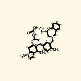 CC[C@@H]1CN(Cc2cc([C@@H](CC(=O)O)c3ccc4c(nnn4C)c3C)ccc2C)Cc2ccccc2O1.O=CO